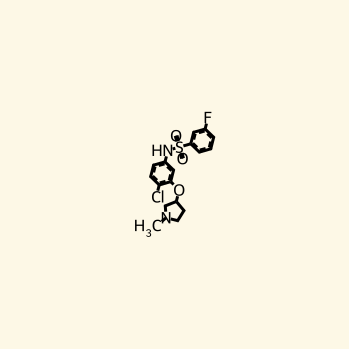 CN1CCC(Oc2cc(NS(=O)(=O)c3cccc(F)c3)ccc2Cl)C1